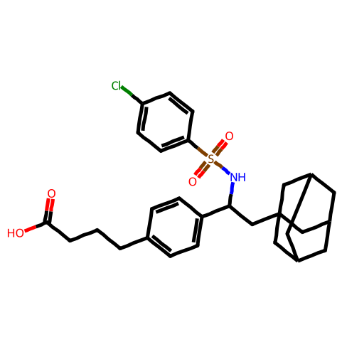 O=C(O)CCCc1ccc(C(CC23CC4CC(CC(C4)C2)C3)NS(=O)(=O)c2ccc(Cl)cc2)cc1